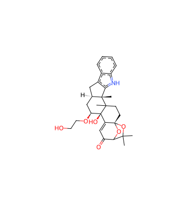 CC1(C)O[C@@]23CCC4(C)[C@@]5(C)c6[nH]c7ccccc7c6C[C@@H]5C[C@H](OCCO)[C@@]4(O)C2=CC(=O)C1O3